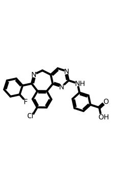 O=C(O)c1cccc(Nc2ncc3c(n2)-c2ccc(Cl)cc2C(C2=CC=CCC2F)=NC3)c1